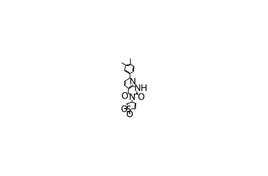 Cc1ccc(-c2ccc3c(=O)n(C4C=CS(=O)(=O)C4)c(=O)[nH]c3n2)cc1C